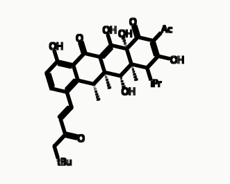 CC(=O)C1=C(O)C(C(C)C)[C@@]2(C)[C@H](O)[C@]3(C)C(=C(O)[C@@]2(O)C1=O)C(=O)c1c(O)ccc(/C=C/C(=O)CC(C)(C)C)c1[C@H]3C